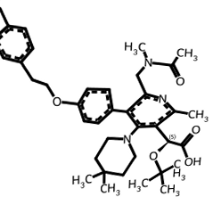 CC(=O)N(C)Cc1nc(C)c([C@H](OC(C)(C)C)C(=O)O)c(N2CCC(C)(C)CC2)c1-c1ccc(OCCc2ccc(F)cc2)cc1